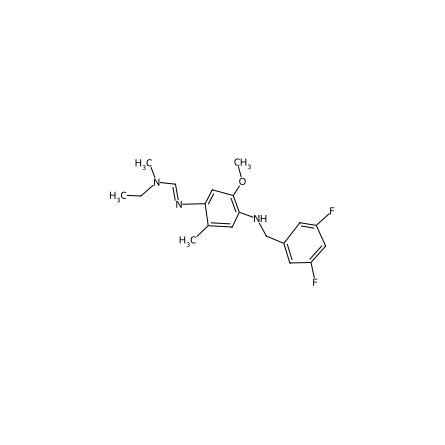 CCN(C)C=Nc1cc(OC)c(NCc2cc(F)cc(F)c2)cc1C